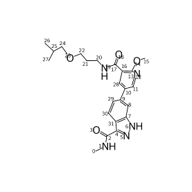 CNC(=O)c1n[nH]c2cc(-c3cnc(OC)c(C(=O)NCCCOCC(C)C)c3)ccc12